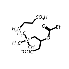 CCC(=O)OC(CC(=O)[O-])C[N+](C)(C)C.NCCS(=O)(=O)O